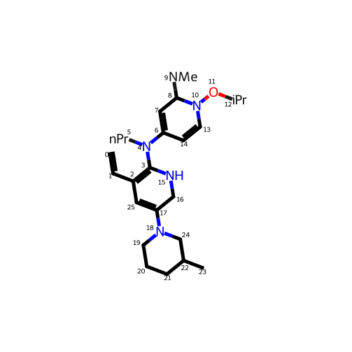 C=CC1=C(N(CCC)C2=CC(NC)N(OC(C)C)C=C2)NCC(N2CCCC(C)C2)=C1